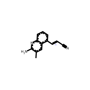 Cc1cc2c(/C=C/C#N)cccc2nc1N